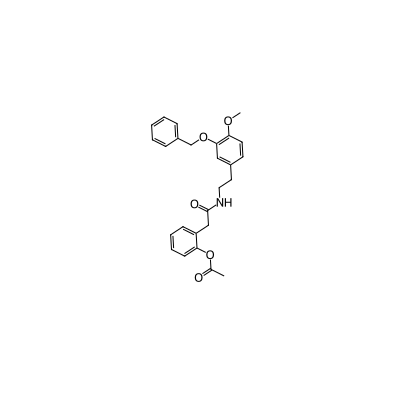 COc1ccc(CCNC(=O)Cc2ccccc2OC(C)=O)cc1OCc1ccccc1